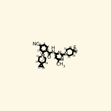 Cc1cc(NC(=O)c2ccc(C#N)cc2N2CCC3(CC2)CC3)nc(N2CCC(F)(F)CC2)n1